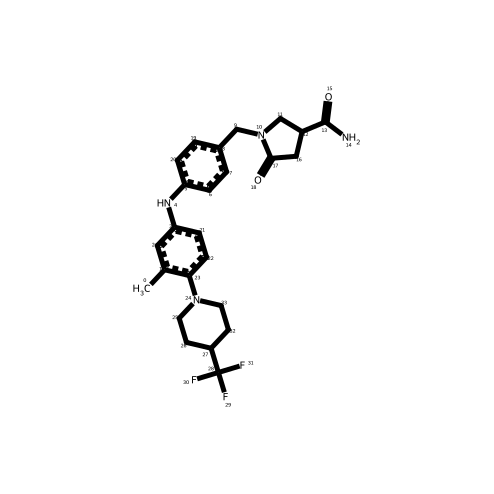 Cc1cc(Nc2ccc(CN3CC(C(N)=O)CC3=O)cc2)ccc1N1CCC(C(F)(F)F)CC1